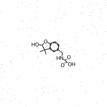 CC1(C)c2cc(CNS(=O)(=O)O)ccc2OC1O